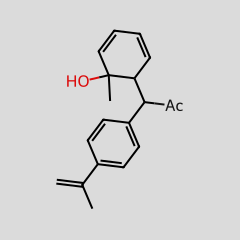 C=C(C)c1ccc(C(C(C)=O)C2C=CC=CC2(C)O)cc1